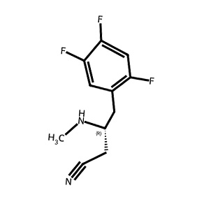 CN[C@@H](CC#N)Cc1cc(F)c(F)cc1F